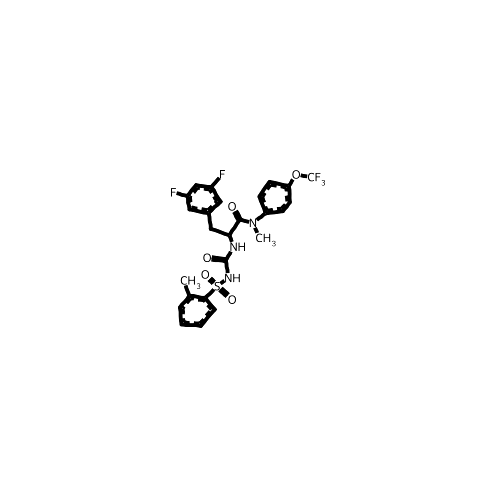 Cc1ccccc1S(=O)(=O)NC(=O)NC(Cc1cc(F)cc(F)c1)C(=O)N(C)c1ccc(OC(F)(F)F)cc1